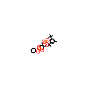 Cc1cc(C(C)(C)C)c(OP2OCC3(CO2)COP(OC2CCCCC2)OC3)c(C(C)(C)C)c1